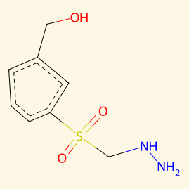 NNCS(=O)(=O)c1cccc(CO)c1